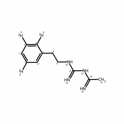 [2H]c1cc([2H])c([2H])c(CCNC(=N)NC(C)=N)c1